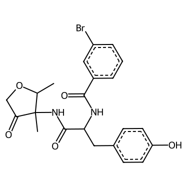 CC1OCC(=O)C1(C)NC(=O)C(Cc1ccc(O)cc1)NC(=O)c1cccc(Br)c1